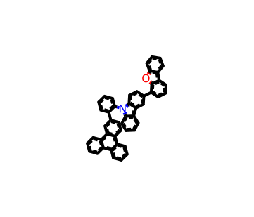 c1ccc(-n2c3ccccc3c3cc(-c4cccc5c4oc4ccccc45)ccc32)c(-c2ccc3c4ccccc4c4ccccc4c3c2)c1